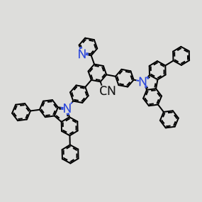 N#Cc1c(-c2ccc(-n3c4ccc(-c5ccccc5)cc4c4cc(-c5ccccc5)ccc43)cc2)cc(-c2ccccn2)cc1-c1ccc(-n2c3ccc(-c4ccccc4)cc3c3cc(-c4ccccc4)ccc32)cc1